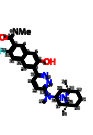 CNC(=O)c1cc2cc(O)c(-c3ccc(N(C)[C@@H]4C[C@]5(C)CCC[C@](C)(C4)N5)nn3)cc2cc1F